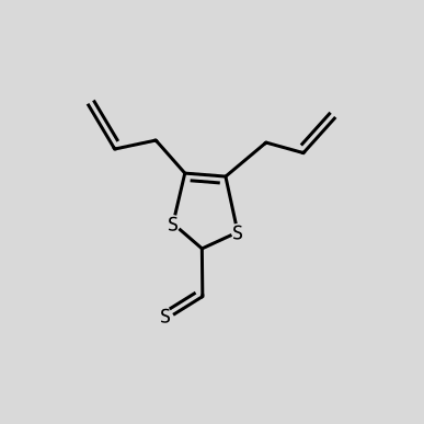 C=CCC1=C(CC=C)SC(C=S)S1